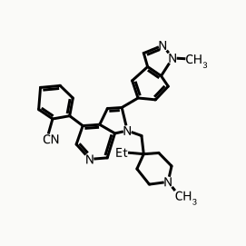 CCC1(Cn2c(-c3ccc4c(cnn4C)c3)cc3c(-c4ccccc4C#N)cncc32)CCN(C)CC1